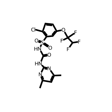 Cc1cc(C)nc(NC(=O)NS(=O)(=O)c2cc(OC(F)(F)C(F)F)ccc2Cl)n1